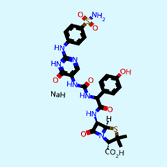 CC1(C)S[C@@H]2[C@H](NC(=O)C(NC(=O)Nc3cnc(Nc4ccc(S(N)(=O)=O)cc4)[nH]c3=O)c3ccc(O)cc3)C(=O)N2[C@H]1C(=O)O.[NaH]